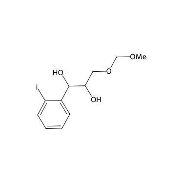 COCOCC(O)C(O)c1ccccc1I